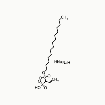 C=CC(S(=O)(=O)O)S(=O)(=O)OCCCCCCCCCCCCCCC.[NaH].[NaH]